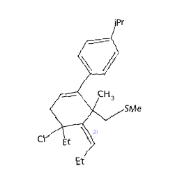 CC/C=C1\C(Cl)(CC)CC=C(c2ccc(C(C)C)cc2)C1(C)CSC